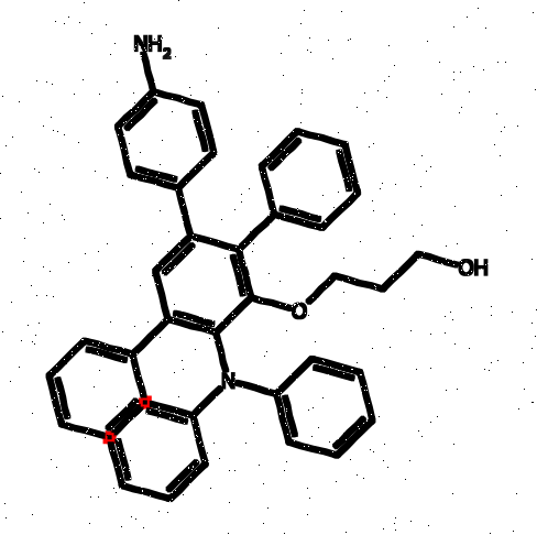 Nc1ccc(-c2cc(-c3ccccc3)c(N(c3ccccc3)c3ccccc3)c(OCCCO)c2-c2ccccc2)cc1